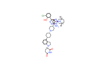 Nc1nnc(-c2cccc(Cl)c2O)cc1N1C[C@H]2CC[C@@H](C1)N2c1nccc(C2CCN([C@H]3CC[C@H](c4cccc5c4CCN5[C@H]4CCC(=O)NC4=O)CC3)CC2)n1